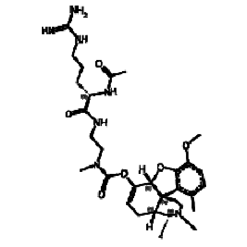 COc1ccc(C)c2c1O[C@H]1C(OC(=O)N(C)CCNC(=O)[C@H](CCCNC(=N)N)NC(C)=O)=CC[C@H]3[C@@H](C)N(C)CC[C@]213